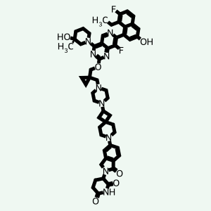 CCc1c(F)ccc2cc(O)cc(-c3ncc4c(N5CCC[C@@](C)(O)C5)nc(OCC5(CN6CCN(C7CC8(CCN(c9ccc%10c(c9)CN(C9CCC(=O)NC9=O)C%10=O)CC8)C7)CC6)CC5)nc4c3F)c12